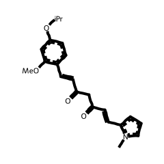 COc1cc(OC(C)C)ccc1C=CC(=O)CC(=O)C=Cc1cccn1C